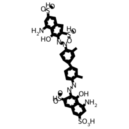 Cc1cc(-c2ccc(N=Nc3c([SH](=O)=O)cc4cc(S(=O)(=O)O)cc(N)c4c3O)c(C)c2)ccc1N=Nc1c([SH](=O)=O)cc2cc([SH](=O)=O)cc(N)c2c1O